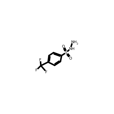 NNS(=O)(=O)c1ccc(C(F)(F)F)cc1